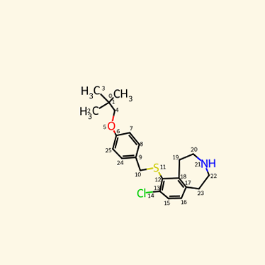 CC(C)(C)COc1ccc(CSc2c(Cl)ccc3c2CCNCC3)cc1